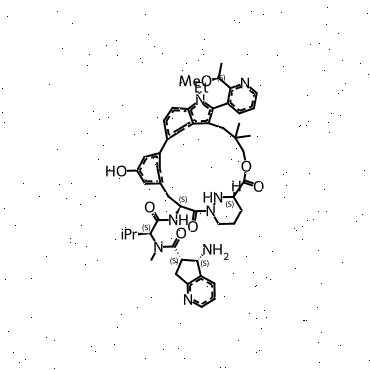 CCn1c(-c2cccnc2[C@H](C)OC)c2c3cc(ccc31)-c1cc(O)cc(c1)C[C@H](NC(=O)[C@H](C(C)C)N(C)C(=O)[C@H]1Cc3ncccc3[C@H]1N)C(=O)N1CCC[C@H](N1)C(=O)OCC(C)(C)C2